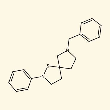 c1ccc(CN2CCC3(CCN(c4ccccc4)S3)C2)cc1